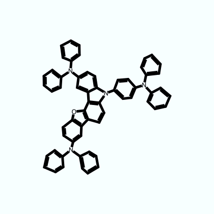 c1ccc(N(c2ccccc2)c2ccc(-n3c4ccc(N(c5ccccc5)c5ccccc5)cc4c4c5oc6ccc(N(c7ccccc7)c7ccccc7)cc6c5ccc43)cc2)cc1